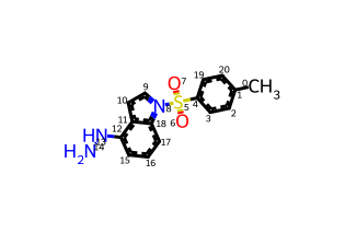 Cc1ccc(S(=O)(=O)n2ccc3c(NN)cccc32)cc1